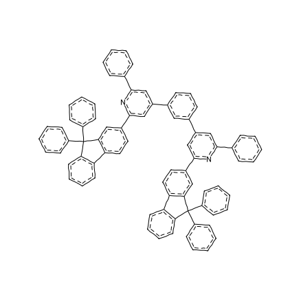 c1ccc(-c2cc(-c3cccc(-c4cc(-c5ccccc5)nc(-c5ccc6c(c5)C(c5ccccc5)(c5ccccc5)c5ccccc5-6)c4)c3)cc(-c3ccc4c(c3)C(c3ccccc3)(c3ccccc3)c3ccccc3-4)n2)cc1